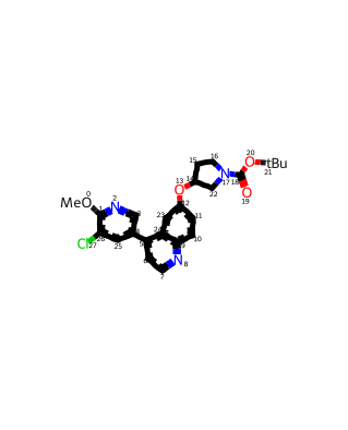 COc1ncc(-c2ccnc3ccc(OC4CCN(C(=O)OC(C)(C)C)C4)cc23)cc1Cl